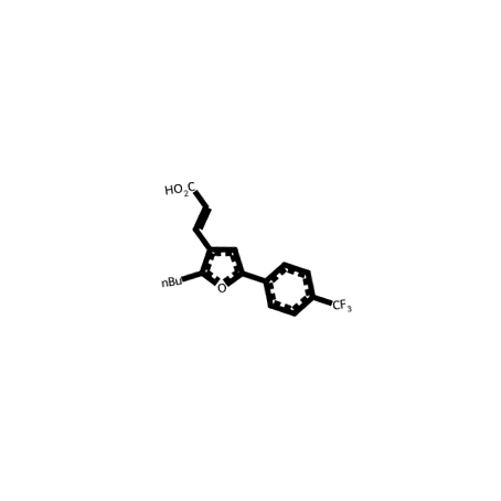 CCCCc1oc(-c2ccc(C(F)(F)F)cc2)cc1C=CC(=O)O